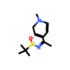 C/C(=N/[S+]([O-])C(C)(C)C)C1=CCN(C)C=C1